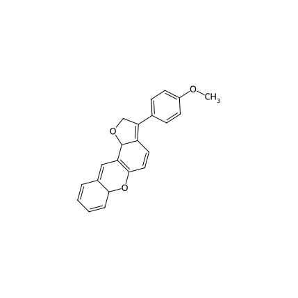 COc1ccc(C2=C3C=CC4=C(C=C5C=CC=CC5O4)C3OC2)cc1